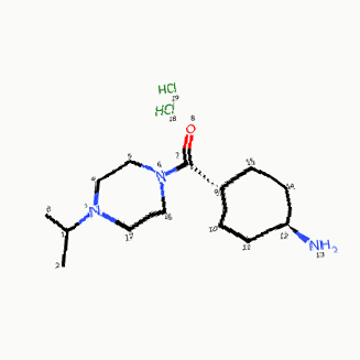 CC(C)N1CCN(C(=O)[C@H]2CC[C@H](N)CC2)CC1.Cl.Cl